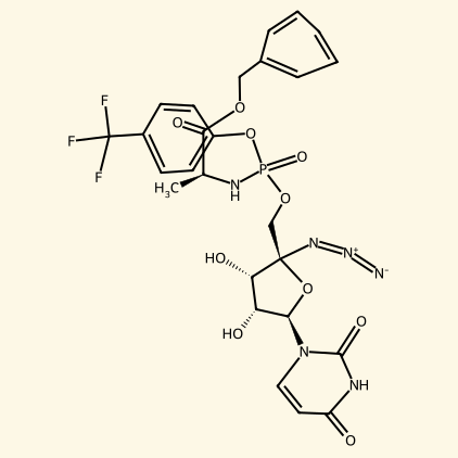 C[C@H](NP(=O)(OC[C@@]1(N=[N+]=[N-])O[C@@H](n2ccc(=O)[nH]c2=O)[C@H](O)[C@@H]1O)Oc1ccc(C(F)(F)F)cc1)C(=O)OCc1ccccc1